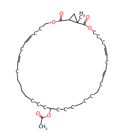 CC(=O)OC1CCCCCCCC/C=C\C/C=C\CCCOC(=O)C2CC2(C)C(=O)OCCC/C=C\C/C=C\CCCCCCCC1